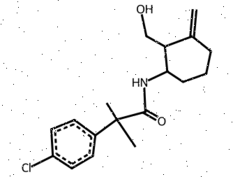 C=C1CCCC(NC(=O)C(C)(C)c2ccc(Cl)cc2)C1CO